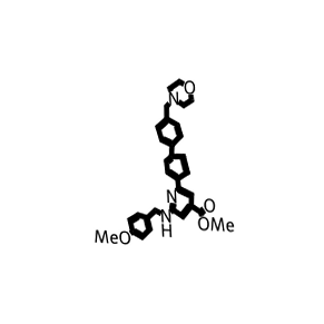 COC(=O)c1cc(NCc2ccc(OC)cc2)nc(-c2ccc(-c3ccc(CN4CCOCC4)cc3)cc2)c1